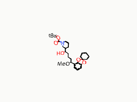 CO[C@@H](CCCC(O)C1CCCN(C(=O)OC(C)(C)C)C1)c1cccc2c1OC1(CCCCC1)O2